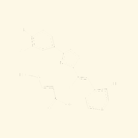 COC=CC(=O)O.Cc1ccccc1C=C(F)c1nc(-c2ccc(Cl)c(Cl)c2)cs1